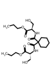 CCCOC(=O)[C@@H](CO)NC(=O)C1(C(=O)N[C@H](CO)C(=O)OCCC)CCCCC1